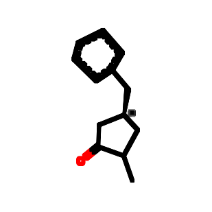 CC1C[C@H](Cc2ccccc2)CC1=O